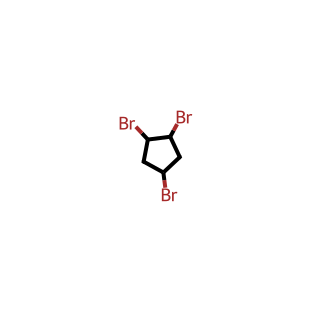 BrC1CC(Br)C(Br)C1